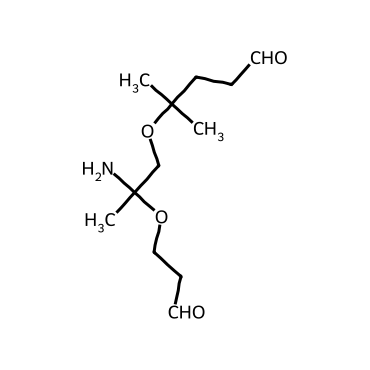 CC(C)(CCC=O)OCC(C)(N)OCCC=O